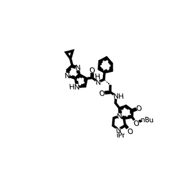 CCCCOc1c2n(c(CNC(=O)C[C@H](NC(=O)c3c[nH]c4ncc(C5CC5)nc34)c3ccccc3)cc1=O)CCN(C(C)C)C2=O